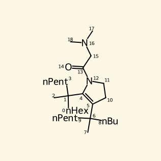 CCCCCCC(C)(CCCCC)C1=C(C(C)(CCCC)CCCCC)CCN1C(=O)CN(C)C